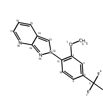 COc1cc(C(F)(F)F)ccc1-n1cc2cccnc2n1